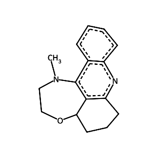 CN1CCOC2CCCc3nc4ccccc4c1c32